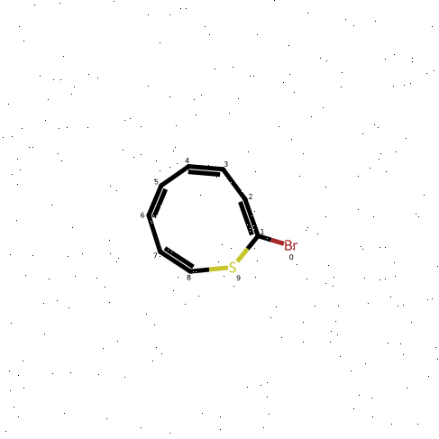 Brc1cccccccs1